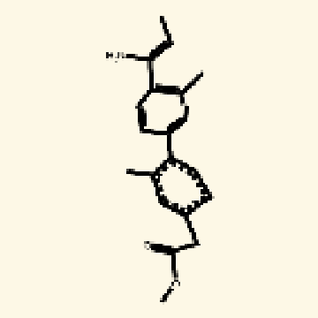 C/C=C(\N)C(/C=C\C(=C/C)c1ccc(CC(=O)OC)cc1C)=C(C)C